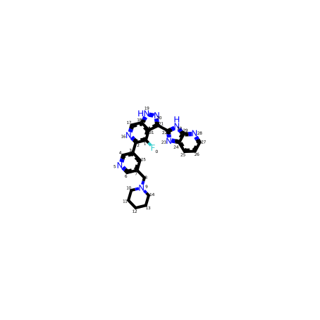 Fc1c(-c2cncc(CN3CCCCC3)c2)ncc2[nH]nc(-c3nc4cccnc4[nH]3)c12